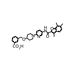 Cc1ccc2c(C)c(C(=O)Nc3ccc(N4CCC(OCc5cccc(C(=O)O)c5)CC4)nc3)oc2c1C